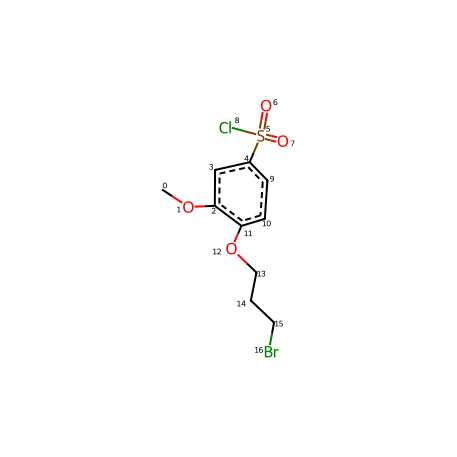 COc1cc(S(=O)(=O)Cl)ccc1OCCCBr